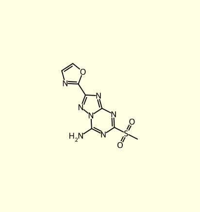 CS(=O)(=O)c1nc(N)n2nc(-c3ncco3)nc2n1